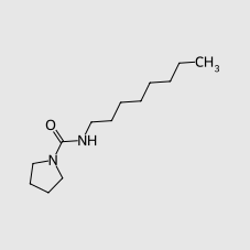 CCCCCCCCNC(=O)N1CCCC1